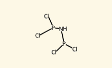 ClP(Cl)NP(Cl)Cl